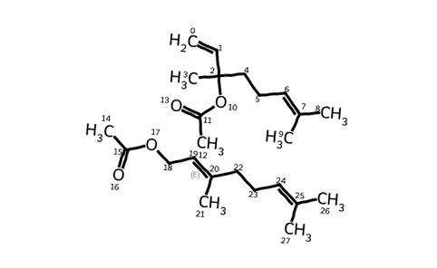 C=CC(C)(CCC=C(C)C)OC(C)=O.CC(=O)OC/C=C(\C)CCC=C(C)C